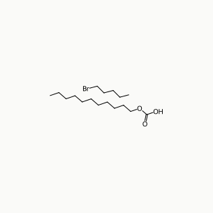 CCCCCBr.CCCCCCCCCCCOC(=O)O